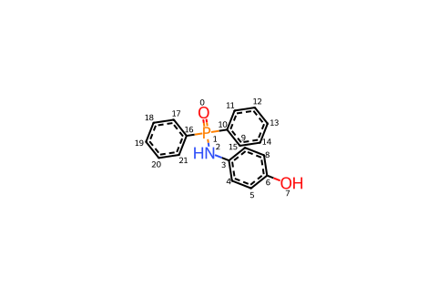 O=P(Nc1ccc(O)cc1)(c1ccccc1)c1ccccc1